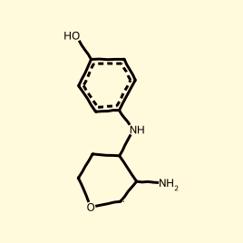 NC1[CH]OCCC1Nc1ccc(O)cc1